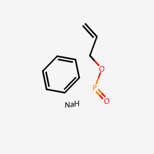 C=CCOP=O.[NaH].c1ccccc1